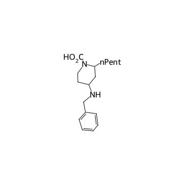 CCCCCC1CC(NCc2ccccc2)CCN1C(=O)O